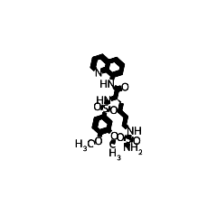 COc1ccc(S(=O)(=O)N[C@@H](CCCCNS(N)(=O)=O)C(=O)Nc2cccc3cccnc23)cc1OC